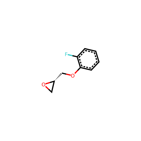 Fc1ccccc1OC[C@@H]1CO1